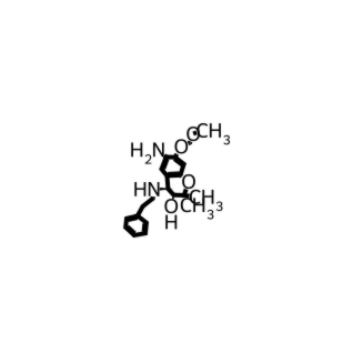 COCOc1cc2c(cc1N)[C@H](NCCc1ccccc1)[C@@H](O)C(C)(C)O2